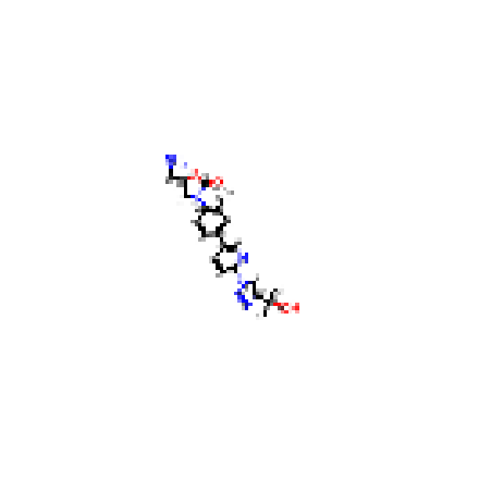 CCc1cc(-c2ccc(-n3cc(C(C)(C)O)nn3)nc2)ccc1N1CC(CN)OC1=O